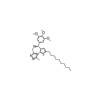 CCCCCCCCCCc1cc2c(s1)-n1c(C)nnc1CN=C2c1cc(OC)c(OC)c(OC)c1